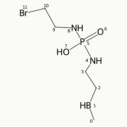 CBCCNP(=O)(O)NCCBr